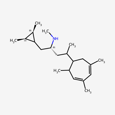 CN[C@H](CC(C)C1CC(C)=CC(C)=CC1C)CC1[C@@H](C)[C@H]1C